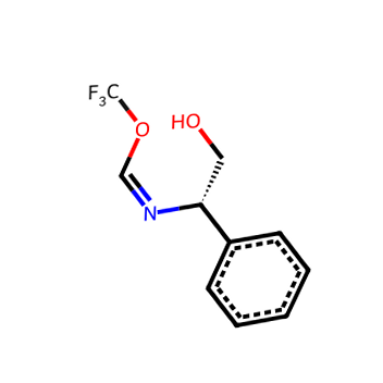 OC[C@@H](/N=C\OC(F)(F)F)c1ccccc1